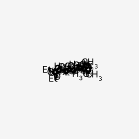 CCOc1cc(OCC)c2cc(-c3ccc4c(c3)C(C)(C)c3cc(-c5cc6cc7c8c(c6oc5=O)C(C)(C)CCN8CCC7(C)C)ccc3-4)c(=O)oc2c1